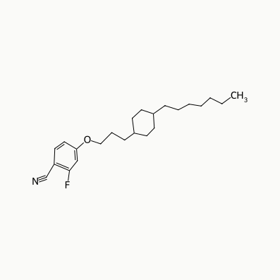 CCCCCCCC1CCC(CCCOc2ccc(C#N)c(F)c2)CC1